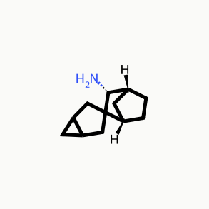 N[C@@H]1[C@@H]2CC[C@@H](C2)C12CC1CC1C2